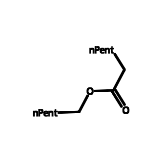 [CH2]CCCCCC(=O)OCCCCCC